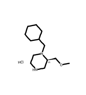 COC[C@H]1CNCCN1CC1CCCCC1.Cl